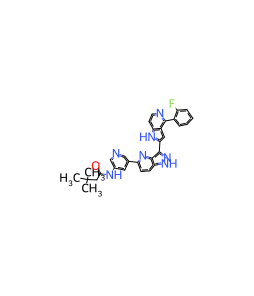 CC(C)(C)CC(=O)Nc1cncc(-c2ccc3[nH]nc(-c4cc5c(-c6ccccc6F)nccc5[nH]4)c3n2)c1